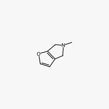 CN1Cc2ccoc2C1